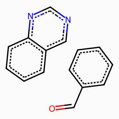 O=Cc1ccccc1.c1ccc2ncncc2c1